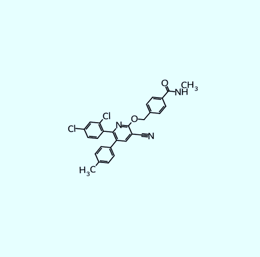 CNC(=O)c1ccc(COc2nc(-c3ccc(Cl)cc3Cl)c(-c3ccc(C)cc3)cc2C#N)cc1